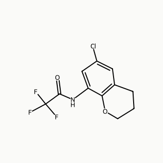 O=C(Nc1cc(Cl)cc2c1OCCC2)C(F)(F)F